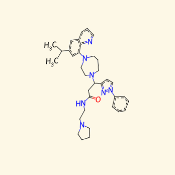 CC(C)c1cc(N2CCCN(C(CC(=O)NCCN3CCCC3)c3ccn(-c4ccccc4)n3)CC2)c2ncccc2c1